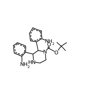 CC(C)(C)OC(=O)N1CCNC(c2ccccc2N)C1c1ccccc1N